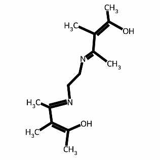 C/C(O)=C(C)/C(C)=N/CC/N=C(C)/C(C)=C(/C)O